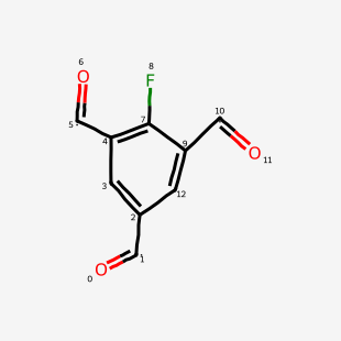 O=[C]c1cc([C]=O)c(F)c([C]=O)c1